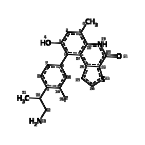 Cc1cc(O)c(-c2ccc(C(C)CN)c(F)c2)c2c1[nH]c(=O)c1sccc12